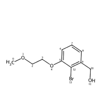 COCCOc1cccc(CO)c1Br